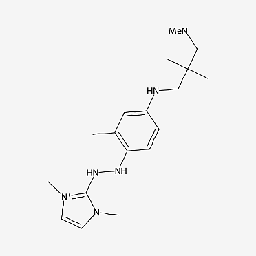 CNCC(C)(C)CNc1ccc(NNc2n(C)cc[n+]2C)c(C)c1